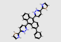 c1ccc(-c2ccc3c(-c4ccc(-c5nccs5)nn4)c4ccccc4c(-c4ccc(-c5nccs5)nn4)c3c2)cc1